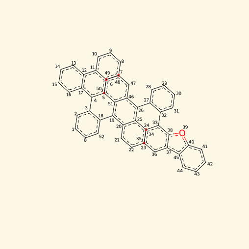 c1ccc(-c2cc3ccccc3c3ccccc23)c(-c2c3ccccc3c(-c3ccccc3-c3cccc4c3oc3ccccc34)c3ccccc23)c1